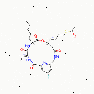 C/C=C1\NC(=O)c2cc(F)cc(n2)CNC(=O)C[C@@H](/C=C/CCSC(C)=O)OC(=O)[C@H](CCCCC)NC1=O